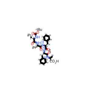 CC(C)C[C@H](NC(=O)OC(C)(C)C)C(=O)N[C@H](C(=O)N[C@@H](Cc1ccccc1)C(=O)N[C@@H](Cc1ccccc1)C(=O)N[C@@H](C)C(=O)O)C(C)C